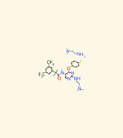 CN(C)CCN.CN(C)CCNc1ncc(N(C)C(=O)C(C)(C)c2cc(C(F)(F)F)cc(C(F)(F)F)c2)c(Oc2ccc(F)cc2)n1